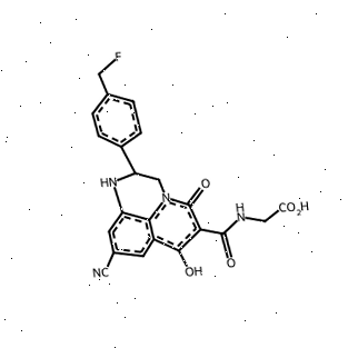 N#Cc1cc2c3c(c1)c(O)c(C(=O)NCC(=O)O)c(=O)n3CC(c1ccc(CF)cc1)N2